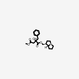 COC(=O)CC(O)(Cc1ccccc1)C(=O)OC[C@H]1CCN2CCC[C@H]12